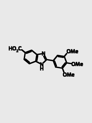 COc1cc(-c2nc3cc(C(=O)O)ccc3[nH]2)cc(OC)c1OC